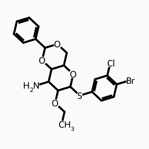 CCOC1C(Sc2ccc(Br)c(Cl)c2)OC2COC(c3ccccc3)OC2C1N